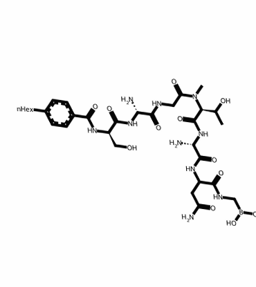 CCCCCCc1ccc(C(=O)N[C@H](CO)C(=O)N[C@H](N)C(=O)NCC(=O)N(C)[C@H](C(=O)N[C@@H](N)C(=O)NC(CC(N)=O)C(=O)NCB(O)O)C(C)O)cc1